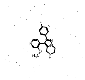 COc1cnccc1-c1c(-c2ccc(F)cc2)nn2c1CNCC2